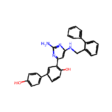 Nc1nc(NCc2ccccc2-c2ccccc2)cc(-c2cc(-c3ccc(O)cc3)ccc2O)n1